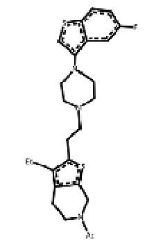 CCc1c(CCN2CCN(c3csc4ccc(F)cc34)CC2)sc2c1CCN(C(C)=O)C2